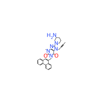 CC#CCn1c(N2CCCC(N)C2)nc2c1c(=O)n(Cc1cc3ccccc3c3ccccc13)c(=O)n2C